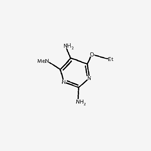 CCOc1nc(N)nc(NC)c1N